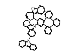 C1#CCC(c2cc3c(cc2-n2c4c(c5cc(-n6c7ccccc7c7ccccc76)ccc52)C=CCC4)-c2ccccc2-c2ccccc2-c2ccccc2-3)=c2c(oc3ccccc23)=C1